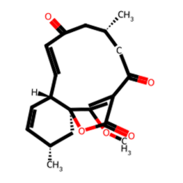 COC1=C2C(=O)C[C@@H](C)CC(=O)/C=C/[C@H]3C=C[C@@H](C)C[C@@]13OC2=O